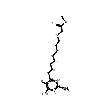 COC(=O)CSCCCCCCCCc1nc(N)nc(Cl)c1C